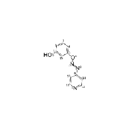 Oc1cccc(ON=Nc2ccncc2)c1